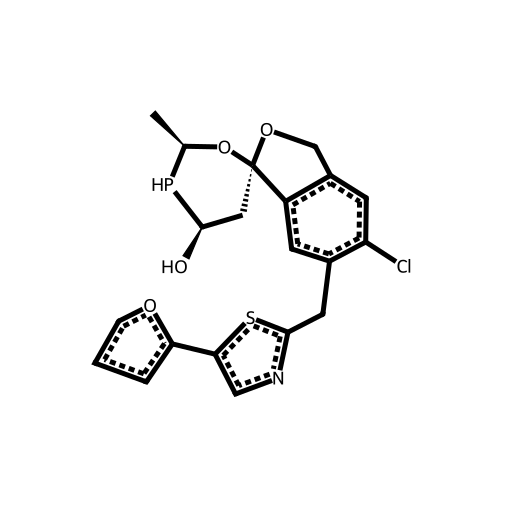 C[C@H]1O[C@@]2(C[C@@H](O)P1)OCc1cc(Cl)c(Cc3ncc(-c4ccco4)s3)cc12